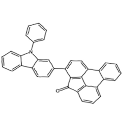 O=c1c2cccc3c4ccccc4c4ccc(-c5ccc6c7ccccc7n(-c7ccccc7)c6c5)c1c4c23